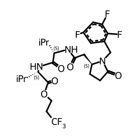 CC(C)[C@H](NC(=O)C[C@@H]1CCC(=O)N1Cc1cc(F)cc(F)c1F)C(=O)N[C@H](C(=O)OCCC(F)(F)F)C(C)C